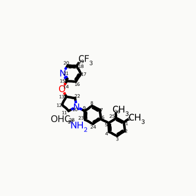 Cc1cccc(-c2ccc(N3CCC(Oc4ccc(C(F)(F)F)cn4)C3)cc2)c1C.NC=O